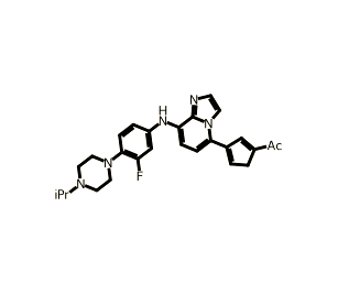 CC(=O)C1=CC(c2ccc(Nc3ccc(N4CCN(C(C)C)CC4)c(F)c3)c3nccn23)=CC1